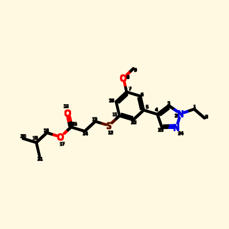 CCn1cc(-c2cc(OC)cc(SCCC(=O)OCC(C)C)c2)cn1